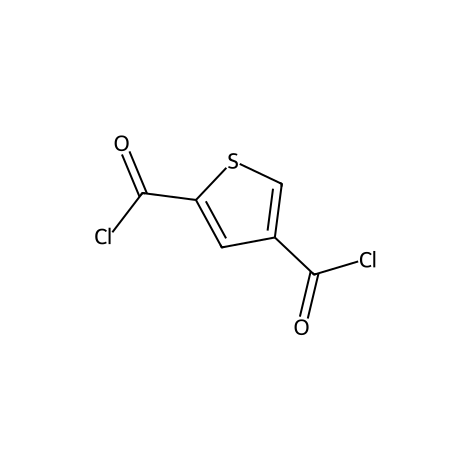 O=C(Cl)c1csc(C(=O)Cl)c1